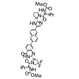 COC(=O)N[C@H](C(=O)N1CCC[C@H]1c1ncc(-c2ccc3cc(-c4ccc5c(=O)[nH]c([C@@H]6CC(F)(F)CN6C(=O)[C@@H](NC(=O)OC)C(C)C)nc5c4)ccc3c2)[nH]1)C(C)C